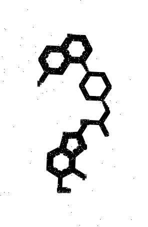 COc1ccc2nc(NC(C)C[C@H]3CC[C@@H](c4ccnc5ccc(F)cc54)CC3)oc2c1F